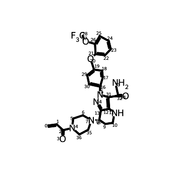 C=CC(=O)N1CCN([C@H]2CCNc3c2nn(-c2ccc(Oc4ccccc4OC(F)(F)F)cc2)c3C(N)=O)CC1